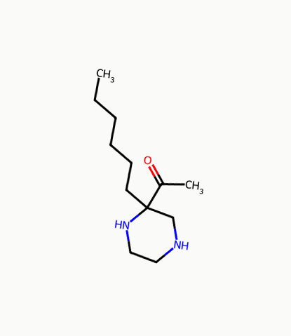 CCCCCCC1(C(C)=O)CNCCN1